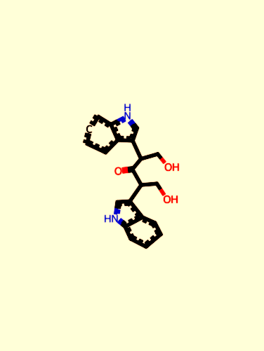 O=C(C(CO)c1c[nH]c2ccccc12)C(CO)c1c[nH]c2ccccc12